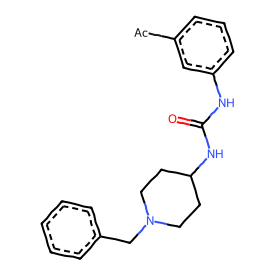 CC(=O)c1cccc(NC(=O)NC2CCN(Cc3ccccc3)CC2)c1